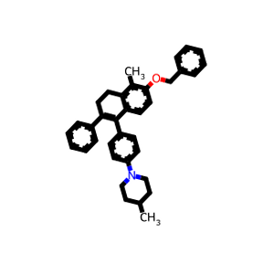 Cc1c(OCc2ccccc2)ccc2c1CCC(c1ccccc1)=C2c1ccc(N2CCC(C)CC2)cc1